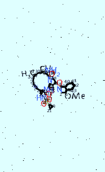 COc1cnc(O[C@@H]2C[C@H]3C(=O)N[C@]4(C(=O)NS(=O)(=O)C5CC5)CC4/C=C\CC[C@@H](C)C[C@@H](C)[C@H](N)C(=O)N3C2)c2ccccc12